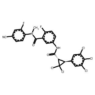 CN(C(=O)c1cc(NC(=O)[C@@H]2[C@@H](c3cc(Cl)c(Cl)c(Cl)c3)C2(Cl)Cl)ccc1F)c1ccc(C#N)cc1F